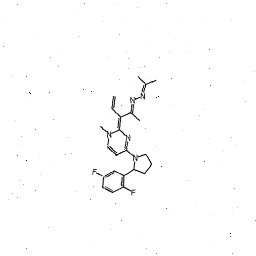 C=CC(=C1/N=C(N2CCCC2c2cc(F)ccc2F)C=CN1C)/C(C)=N/N=C(C)C